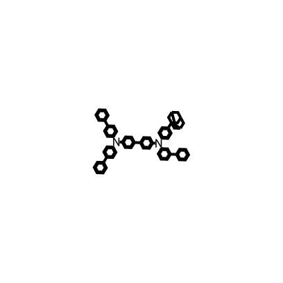 c1ccc(-c2ccc(N(c3ccc(-c4ccccc4)cc3)c3ccc(-c4ccc(N(c5ccc(C67CC8CC(CC(C8)C6)C7)cc5)c5cccc(-c6ccccc6)c5)cc4)cc3)cc2)cc1